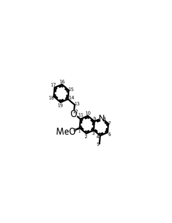 COc1cc2c(C)ccnc2cc1OCc1ccccc1